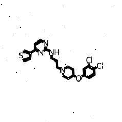 Clc1ccc(OC2CCN(CCCNc3nccc(-c4ccsc4)n3)CC2)cc1Cl